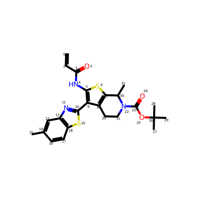 C=CC(=O)Nc1sc2c(c1-c1nc3cc(C)ccc3s1)CCN(C(=O)OC(C)(C)C)C2C